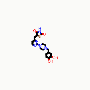 O=C1NC(=O)C(=Cc2ccnc(N3CCN(Cc4ccc(O)c(O)c4)CC3)n2)S1